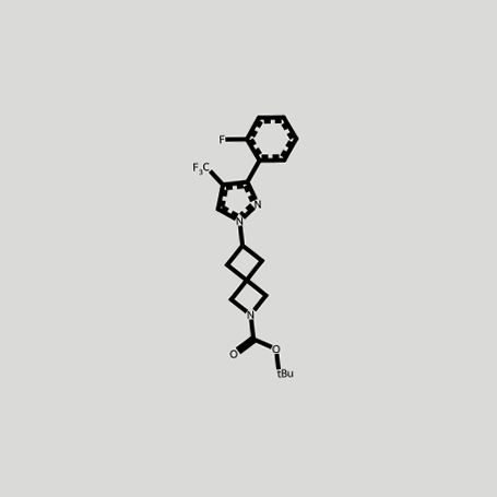 CC(C)(C)OC(=O)N1CC2(CC(n3cc(C(F)(F)F)c(-c4ccccc4F)n3)C2)C1